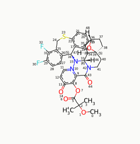 COC(C)(C)C(=O)Oc1c2n(ccc1=O)N([C@@H]1c3ccccc3SCc3c1ccc(F)c3F)[C@@H]1[C@H]3C[C@@H]4CC[C@@]3(CCN1C2=O)O4